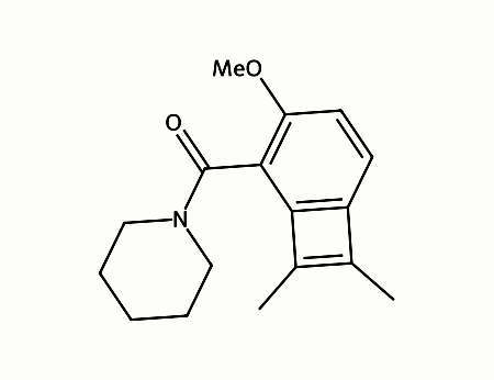 COc1ccc2c(c1C(=O)N1CCCCC1)C(C)=C2C